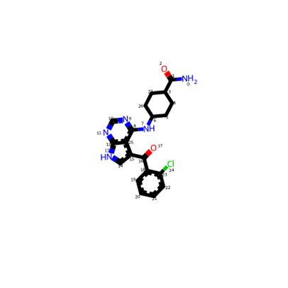 NC(=O)C1CCC(Nc2ncnc3[nH]cc(C(=O)c4ccccc4Cl)c23)CC1